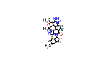 C[C@H]1OCc2c1c(N)nc1cc(F)c(C(=O)N(c3cnn(C)c3)C3CCc4cc(C(F)(F)F)ccc43)cc21